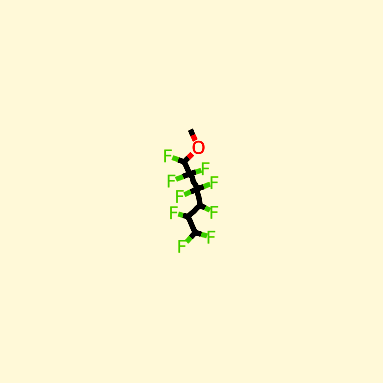 COC(F)C(F)(F)C(F)(F)C(F)C(F)C(F)F